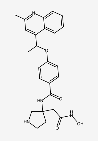 Cc1cc(C(C)Oc2ccc(C(=O)NC3(CC(=O)NO)CCNC3)cc2)c2ccccc2n1